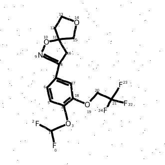 FC(F)Oc1ccc(C2=NOC3(CCOC3)C2)cc1OCC(F)(F)F